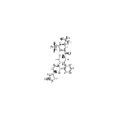 O=C(c1cc(C(F)(F)F)cc(C(F)(F)F)c1)N1CCC(N2CCN(C3CCNC3)CC2)C(c2ccccc2)C1